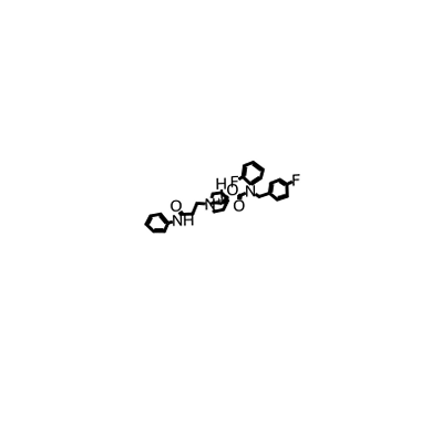 O=C(CC[N+]12CCC(CC1)[C@@H](OC(=O)N(Cc1ccc(F)cc1)c1ccccc1F)C2)Nc1ccccc1